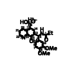 CCC(=O)NC(c1ccc(OC)c(OC)c1)c1cc([NH+]([O-])O)c2cccnc2c1O